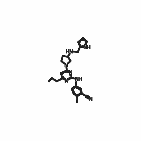 CCCc1cc(N2CCC(NCc3ccc[nH]3)C2)nc(Nc2ccc(C)c(C#N)c2)n1